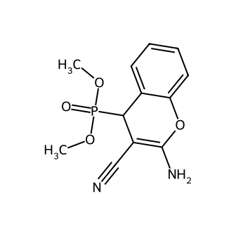 COP(=O)(OC)C1C(C#N)=C(N)Oc2ccccc21